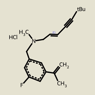 C=C(C)c1cc(F)cc(CN(C)C/C=C/C#CC(C)(C)C)c1.Cl